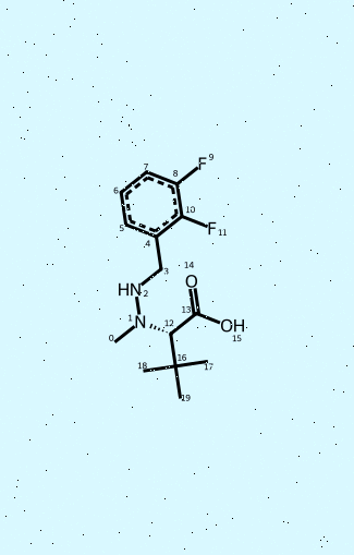 CN(NCc1cccc(F)c1F)[C@H](C(=O)O)C(C)(C)C